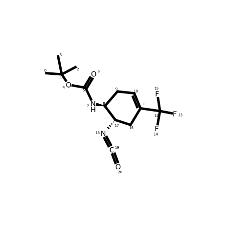 CC(C)(C)OC(=O)N[C@H]1CC=C(C(F)(F)F)C[C@@H]1N=C=O